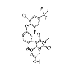 Cn1c(=O)n(CC(=O)O)c(=O)n(-c2cc(Oc3c(F)cc(C(F)(F)F)cc3Cl)ccc2Br)c1=O